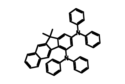 CC1(C)c2cc3ccccc3cc2-c2c(N(c3ccccc3)c3ccccc3)cc(N(c3ccccc3)c3ccccc3)cc21